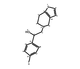 OC(CN1CCc2sccc2C1)c1ccc(F)cc1